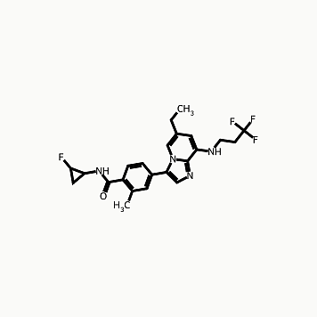 CCc1cc(NCCC(F)(F)F)c2ncc(-c3ccc(C(=O)NC4CC4F)c(C)c3)n2c1